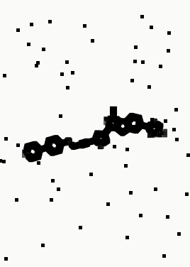 C(#Cc1cc(-c2n[nH]c3c2Cc2cc(-c4nc[nH]n4)ccc2-3)cs1)COc1ccc(-c2ccncc2)cc1